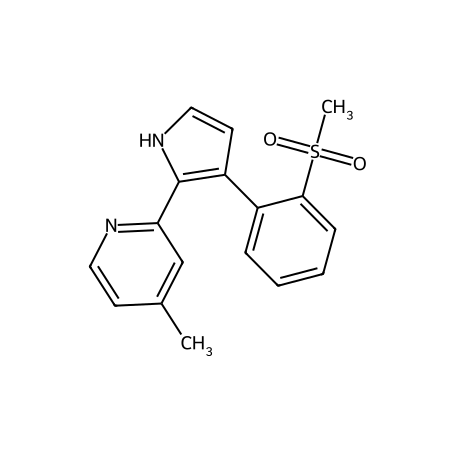 Cc1ccnc(-c2[nH]ccc2-c2ccccc2S(C)(=O)=O)c1